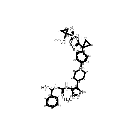 C[C@@H](OC(=O)Nc1c(C2CCN(c3ccc(C4(C(=O)NS(=O)(=O)C5(C(=O)O)CC5)CC4)cc3)CC2)nnn1C)c1ccccc1